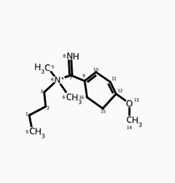 CCCC[N+](C)(C)C(=N)C1=CC=C(OC)CC1